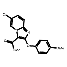 COC(=O)c1c(Oc2ccc(OC)cc2)nc2ccc(Cl)cn12